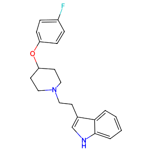 Fc1ccc(OC2CCN(CCc3c[nH]c4ccccc34)CC2)cc1